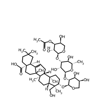 CC(=O)O[C@@H]1[C@@H](O)[C@H](O[C@@H]2[C@@H](O)[C@H](C)O[C@@H](O[C@H]3[C@H](O[C@H]4CC[C@@]5(C)[C@@H](CC[C@]6(C)[C@@H]5CC=C5[C@@H]7CC(C)(C)CC[C@]7(C(=O)O)CC[C@]56C)[C@]4(C)CO)OC[C@H](O)[C@@H]3O)[C@@H]2O)OC[C@@H]1O